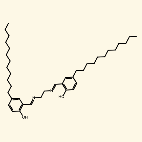 CCCCCCCCCCCCc1ccc(O)c(/C=N/CC/N=C/c2cc(CCCCCCCCCCCC)ccc2O)c1